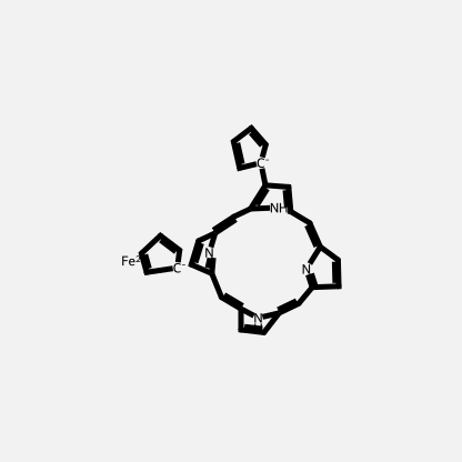 C1=Cc2cc3cc(-[c-]4cccc4)c(cc4nc(cc5ccc(cc1n2)[nH]5)C=C4)[nH]3.[Fe+2].c1cc[cH-]c1